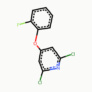 Fc1ccccc1Oc1cc(Cl)nc(Cl)c1